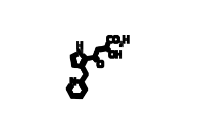 O=C(O)C(O)=CC(=O)c1[nH]ccc1Cc1ccccn1